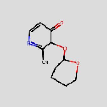 N#CC1=NC=CC(=O)C1OC1CCCCO1